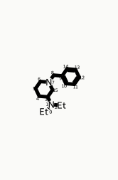 CCN(CC)C1CCCN(Cc2ccccc2)C1